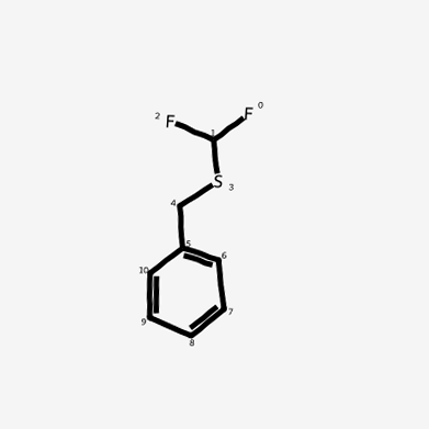 FC(F)SCc1ccccc1